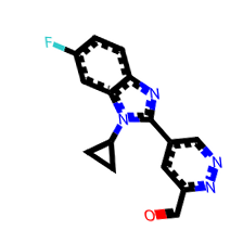 O=Cc1cc(-c2nc3ccc(F)cc3n2C2CC2)cnn1